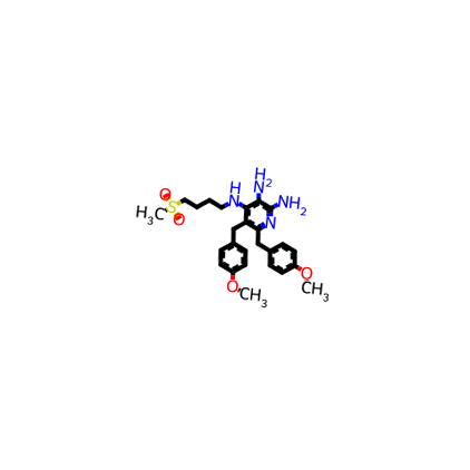 COc1ccc(Cc2nc(N)c(N)c(NCCCCS(C)(=O)=O)c2Cc2ccc(OC)cc2)cc1